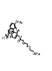 COCCOCCOCC(=O)OC1=CC[C@@]2(O)[C@H]3Cc4ccc(OC)c5c4C2(CCN3C)[C@H]1O5